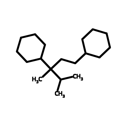 CC(C)C(C)(CCC1CCCCC1)C1CCCCC1